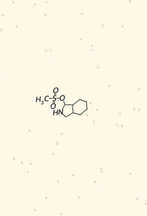 CS(=O)(=O)OC1NCC2CCCCC21